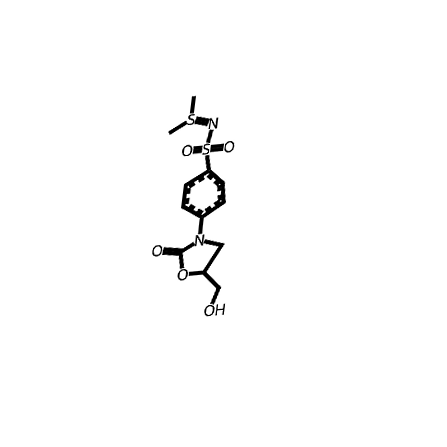 CS(C)=NS(=O)(=O)c1ccc(N2CC(CO)OC2=O)cc1